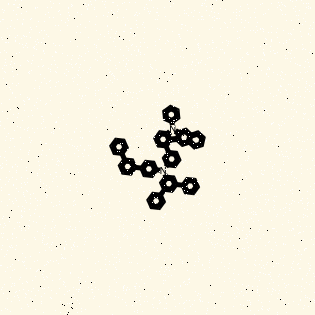 c1ccc(-c2cccc(-c3ccc(N(c4cc(-c5ccccc5)cc(-c5ccccc5)c4)c4cccc(-c5cccc6c5c5cc7ccccc7cc5n6-c5ccccc5)c4)cc3)c2)cc1